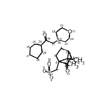 CC1(C)C2CCC1(CS(=O)(=O)[O-])C(=O)C2.O=C(C[S+]1CCOCC1)C1CCCCC1